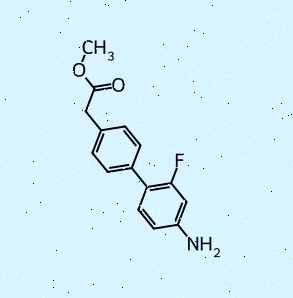 COC(=O)Cc1ccc(-c2ccc(N)cc2F)cc1